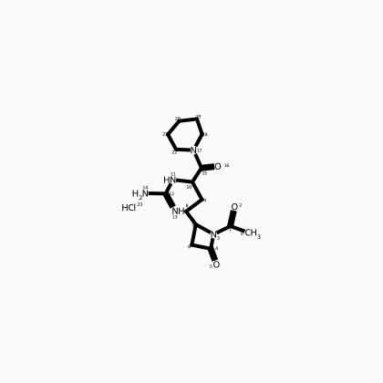 CC(=O)N1C(=O)CC1CCC(NC(=N)N)C(=O)N1CCCCC1.Cl